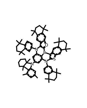 Cc1cc(C)c2c(c1)N(c1cc3c4c(c1)N(c1ccc5c(c1)C(C)(C)CCC5(C)C)c1c(oc5cc6c(cc15)C(C)(C)CCC6(C)C)B4c1c(sc4cc5c(cc14)C(C)(C)CCC5(C)C)N3c1ccc3c(c1)C(C)(C)CCC3(C)C)C1(C)CCCCC21C